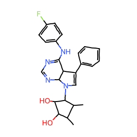 CC1C(C)C(N2C=C(c3ccccc3)C3C(Nc4ccc(F)cc4)=NC=NC32)C(O)C1O